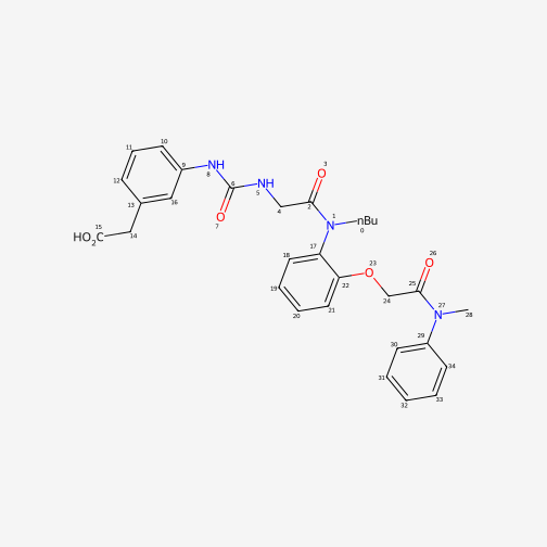 CCCCN(C(=O)CNC(=O)Nc1cccc(CC(=O)O)c1)c1ccccc1OCC(=O)N(C)c1ccccc1